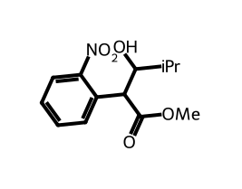 COC(=O)C(c1ccccc1[N+](=O)[O-])C(O)C(C)C